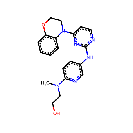 CN(CCO)c1ccc(Nc2nccc(N3CCOc4ccccc43)n2)cn1